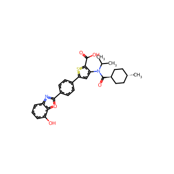 CC(C)N(c1cc(-c2ccc(-c3nc4cccc(O)c4o3)cc2)sc1C(=O)O)C(=O)[C@H]1CC[C@H](C)CC1